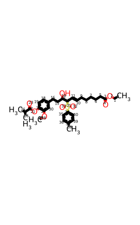 CCOC(=O)CCCCCC=CC(C(O)CCc1ccc(OC(=O)C(C)C)c(OC)c1)S(=O)(=O)c1ccc(C)cc1